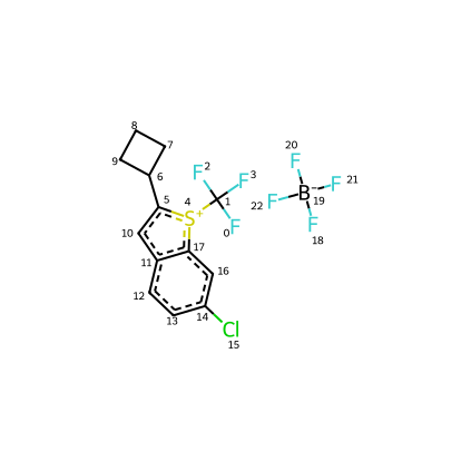 FC(F)(F)[s+]1c(C2CCC2)cc2ccc(Cl)cc21.F[B-](F)(F)F